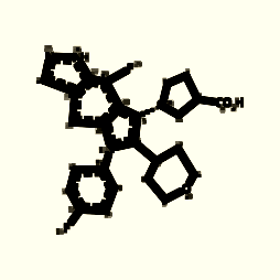 O=C(O)C1CC[C@@H](c2c(C3CCOCC3)n(-c3ccc(F)cc3)c3cc4cn[nH]c4c(F)c23)C1